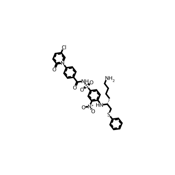 NCCCC[C@H](CSc1ccccc1)Nc1ccc(S(=O)(=O)NC(=O)c2ccc(-n3cc(Cl)ccc3=O)cc2)cc1[N+](=O)[O-]